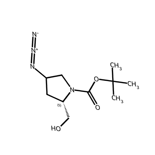 CC(C)(C)OC(=O)N1CC(N=[N+]=[N-])C[C@H]1CO